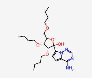 CCCCOC[C@H]1OC(O)(c2ccc3c(N)ncnn23)[C@H](OCCCC)[C@@H]1OCCCC